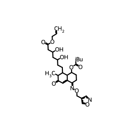 C=CCOC(=O)CC(O)CC(O)CCC1C(C)C(=O)C=C2C(=NOCc3cnoc3)CCC(OC(=O)C(C)CC)C21